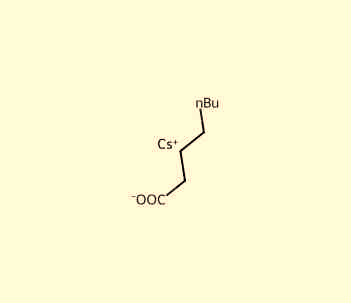 CCCCCCCC(=O)[O-].[Cs+]